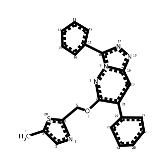 Cc1cnc(COc2nn3c(-c4ccccc4)nnc3cc2-c2ccccc2)s1